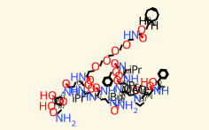 CC[C@H](C)[C@@H]([C@@H](CC(=O)N1CCC[C@H]1[C@H](OC)[C@@H](C)C(=O)N[C@H](C)[C@@H](O)c1ccccc1)OC)N(C)C(=O)[C@@H](NC(=O)[C@H](C(C)C)N(C)C(=O)OCc1ccc(NC(=O)[C@H](CCCNC(N)=O)NC(=O)[C@@H](NC(=O)[C@H](CCC(=O)NC[C@@H]2O[C@H](CC(N)=O)[C@@H](O)[C@H]2O)NC(=O)CCOCCOCCOCCOCCNC(=O)OCC2[C@H]3CCC#CCC[C@@H]23)C(C)C)cc1)C(C)C